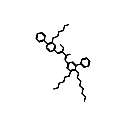 CCCCCCCCc1c(CCCCCC)cc(N=C(C)C(=Cc2ccc(-c3ccccc3)c(CCCCCC)c2)CC)cc1-c1ccccc1